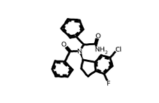 NC(=O)C(c1ccccc1)N(C(=O)c1ccccc1)[C@@H]1CCc2c(F)cc(Cl)cc21